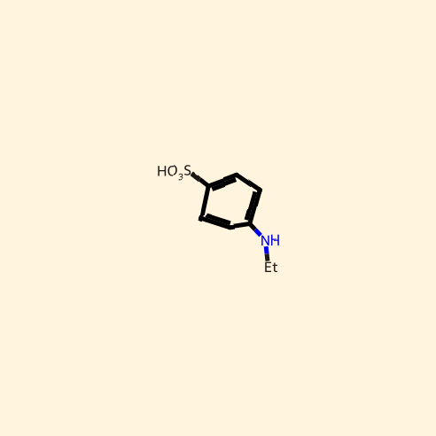 [CH2]CNc1ccc(S(=O)(=O)O)cc1